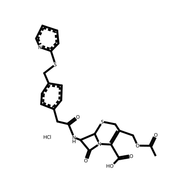 CC(=O)OCC1=C(C(=O)O)N2C(=O)C(NC(=O)Cc3ccc(CSc4ccccn4)cc3)C2SC1.Cl